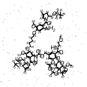 COCCNC(=O)c1cc(COC(=O)Nc2cc(OCCCCCOc3cc(N)c(C(=O)N4C=C(C)CC4CO[Si](C)(C)C(C)(C)C)cc3OC)c(OC)cc2C(=O)N2C=C(C)C[C@H]2CO[Si](C)(C)C(C)(C)C)ccc1O[C@@H]1O[C@H](C(=O)OC)[C@@H](OC(C)=O)[C@H](OC(C)=O)[C@H]1OC(C)=O